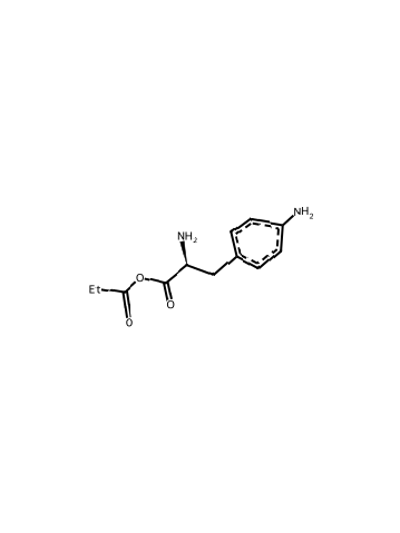 CCC(=O)OC(=O)[C@@H](N)Cc1ccc(N)cc1